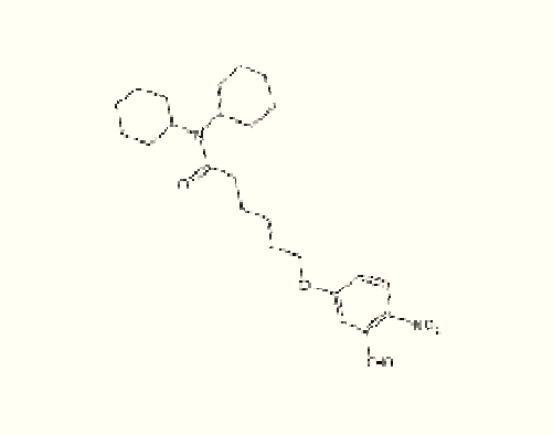 O=Cc1cc(OCCCCCC(=O)N(C2CCCCC2)C2CCCCC2)ccc1[N+](=O)[O-]